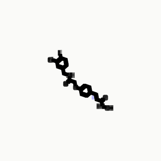 O=C(/C=C/c1ccc(OCC(=O)NCc2ccc(F)c(Cl)c2)cc1)NO